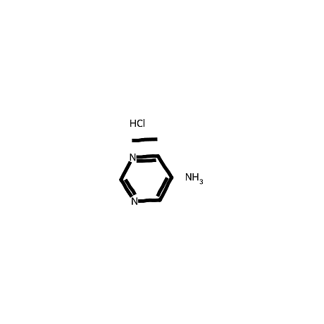 CC.Cl.N.c1cncnc1